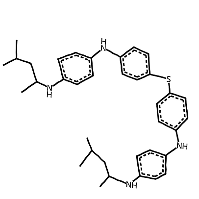 CC(C)CC(C)Nc1ccc(Nc2ccc(Sc3ccc(Nc4ccc(NC(C)CC(C)C)cc4)cc3)cc2)cc1